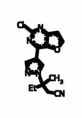 CCC(C)(CC#N)n1cc(-c2nc(Cl)nc3ccoc23)cn1